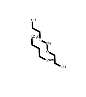 CCCCCCCCCCCCS(=O)(=O)O.OCCONOCCO